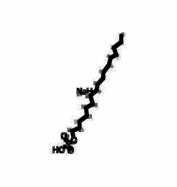 CCCCCCCCCCCCCCCCCOS(=O)(=O)O.[NaH]